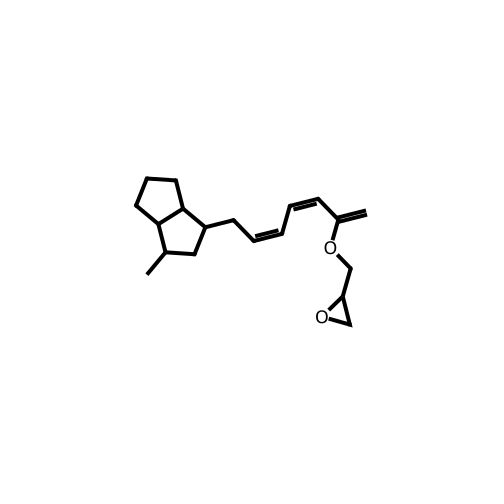 C=C(/C=C\C=C/CC1CC(C)C2CCCC12)OCC1CO1